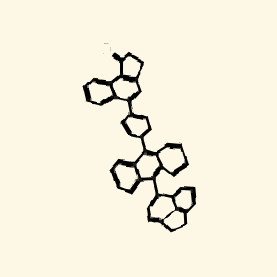 O=C1CCc2cc(-c3ccc(-c4c5ccccc5c(-c5ccc6c7c(cccc57)CC6)c5ccccc45)cc3)c3ccccc3c21